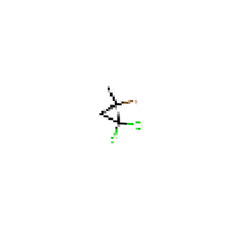 CC1(Br)CC1(Cl)Cl